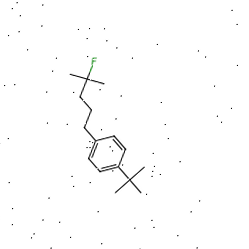 CC(C)(F)CCCc1ccc(C(C)(C)C)cc1